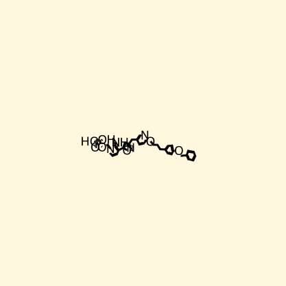 Nc1c(-c2cc(Cc3ccc(OCCCc4ccc(OCc5ccccc5)cc4)nc3)no2)ccc[n+]1COP(=O)(O)O